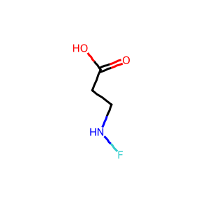 O=C(O)CCNF